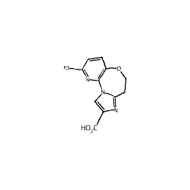 O=C(O)c1cn2c(n1)CCOc1ccc(Cl)nc1-2